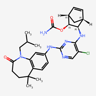 CC(C)CN1C(=O)CCC(C)(C)c2ccc(Nc3ncc(Cl)c(N[C@H]4[C@@H](OC(N)=O)[C@@H]5C=C[C@H]4C5)n3)cc21